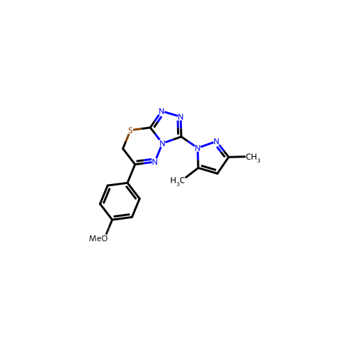 COc1ccc(C2=Nn3c(nnc3-n3nc(C)cc3C)SC2)cc1